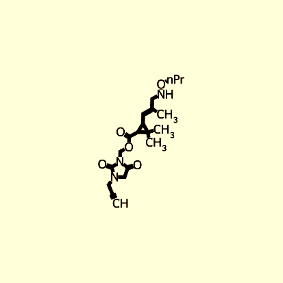 C#CCN1CC(=O)N(COC(=O)C2C(/C=C(\C)CNOCCC)C2(C)C)C1=O